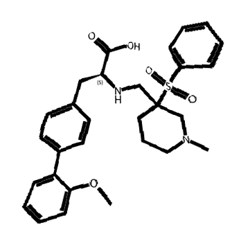 COc1ccccc1-c1ccc(C[C@H](NCC2(S(=O)(=O)c3ccccc3)CCCN(C)C2)C(=O)O)cc1